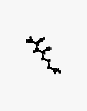 CCCCC(Cl)OC(=O)O